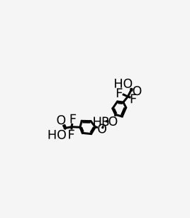 O=C(O)C(F)(F)c1ccc(OBOc2ccc(C(F)(F)C(=O)O)cc2)cc1